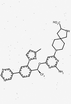 Cc1ccn(-c2cc(-c3cncnc3)ccc2[C@@H](Oc2cc(N3CCC4(CC3)CNC(C(=O)O)C4)nc(N)n2)C(F)(F)F)n1